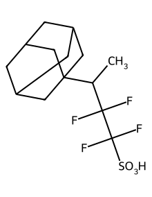 CC(C12CC3CC(CC(C3)C1)C2)C(F)(F)C(F)(F)S(=O)(=O)O